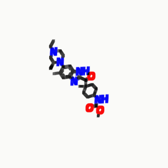 CCN1CCN(c2cc3[nH]c(C(=O)C4(C)CCC(NC(=O)OC)CC4)nc3cc2C)[C@@H](C)C1